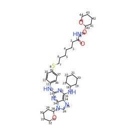 O=C(CCCCCCSc1ccc(Nc2nc(NC3CCCCC3)c3ncn(C4CCCCO4)c3n2)cc1)NOC1CCCCO1